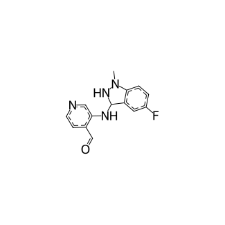 CN1NC(Nc2cnccc2C=O)c2cc(F)ccc21